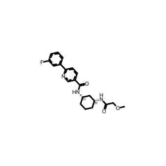 COCC(=O)N[C@@H]1CCC[C@H](NC(=O)c2ccc(-c3cccc(F)c3)nc2)C1